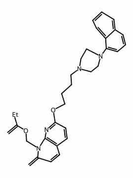 C=C(CC)OCN1C(=C)C=Cc2ccc(OCCCCN3CCN(c4cccc5ccccc45)CC3)nc21